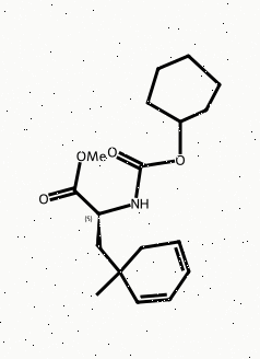 COC(=O)[C@H](CC1(C)C=CC=CC1)NC(=O)OC1CCCCC1